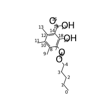 CCCCCOOc1c(C)c(C)c(C)c(C(=O)O)c1O